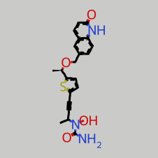 CC(C#Cc1ccc([C@@H](C)OCc2ccc3[nH]c(=O)ccc3c2)s1)N(O)C(N)=O